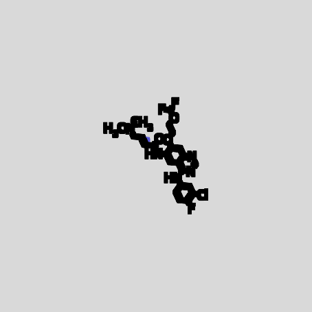 CN(C)C/C=C/C(=O)Nc1cc2c(Nc3ccc(F)c(Cl)c3)ncnc2cc1OCCOC(F)F